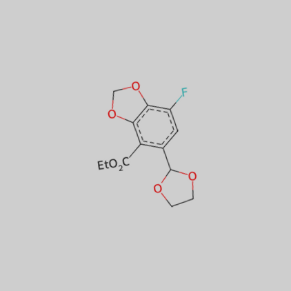 CCOC(=O)c1c(C2OCCO2)cc(F)c2c1OCO2